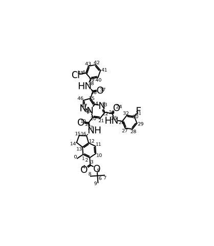 Cc1c(C(=O)OC(C)(C)C)ccc2c1CC[C@@H]2NC(=O)c1cc(C(=O)Nc2cccc(F)c2)nc2c(C(=O)Nc3ccccc3Cl)cnn12